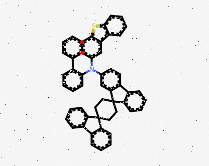 c1ccc(-c2ccccc2N(c2ccc3c(c2)C2(CCC4(CC2)c2ccccc2-c2ccccc24)c2ccccc2-3)c2ccc3sc4ccccc4c3c2)cc1